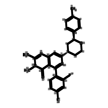 Cc1ccc([C@@H]2C[C@@H](c3cc4nc(C)n(C)c(=O)c4c(-c4ccc(Cl)cc4F)n3)CCO2)cn1